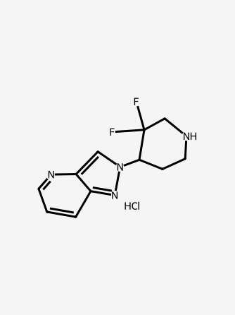 Cl.FC1(F)CNCCC1n1cc2ncccc2n1